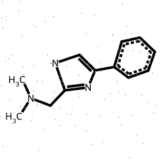 CN(C)CC1=NC(c2ccccc2)=C[N]1